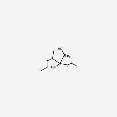 CCCC(C)C(N)(CCC)C(=O)O